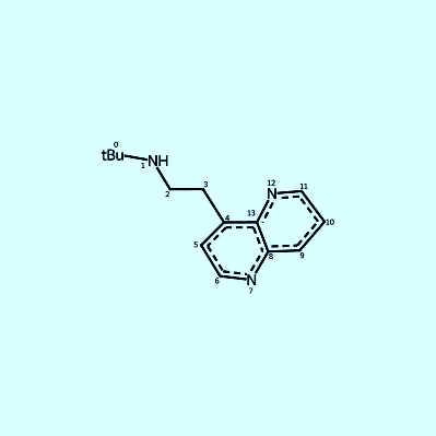 CC(C)(C)NCCc1ccnc2cccnc12